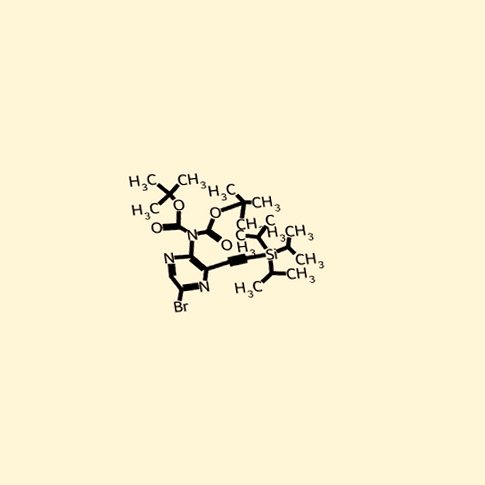 CC(C)[Si](C#Cc1nc(Br)cnc1N(C(=O)OC(C)(C)C)C(=O)OC(C)(C)C)(C(C)C)C(C)C